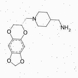 NCC1CCN(C[C@H]2COc3cc4c(cc3O2)OCO4)CC1